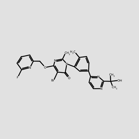 Cc1ccc(-c2ccnc(C(C)(C)O)n2)cc1-n1c(C)nc(OCc2cccc(F)n2)c(Br)c1=O